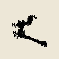 C=C1C[C@H]2C=Nc3cc(OCCCCCOc4cc5c(cc4OC)C(=O)N4CC(=C)C[C@H]4[C@H](O)N5C(=O)OCc4ccc(NC(=O)[C@H](C)NC(=O)[C@@H](NC(=O)CCOCCOCCOCCOCCOCCOCCOCCOCCNC(=O)CCN5C(=O)C=CC5=O)C(C)C)cc4)c(OC)cc3C(=O)N2C1